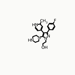 CC1C=C(c2c(-c3ccc(F)cc3)nn(CCO)c2N2CCNCC2)C=CN1